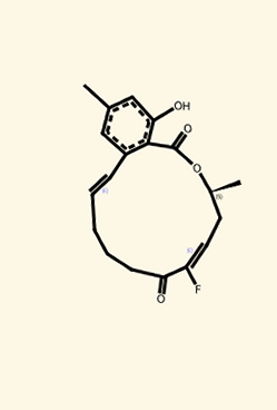 Cc1cc(O)c2c(c1)/C=C/CCCC(=O)/C(F)=C\C[C@H](C)OC2=O